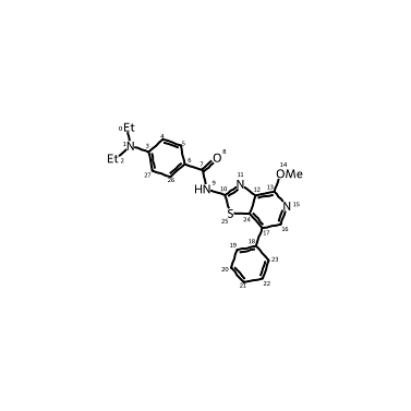 CCN(CC)c1ccc(C(=O)Nc2nc3c(OC)ncc(-c4ccccc4)c3s2)cc1